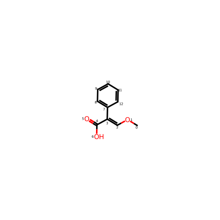 CO/C=C(/C(=O)O)c1ccccc1